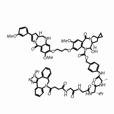 COc1cccc(C2=CN3C(=O)c4cc(OC)c(OCCCOc5cc6c(cc5OC)C(=O)N5CC7(CC7)C[C@H]5C(O)N6C(=O)OCc5ccc(NC(=O)[C@H](C)NC(=O)[C@@H](NC(=O)CNC(=O)CNC(=O)CCC(=O)N6Cc7ccccc7-c7c(nnn7C(C)C)-c7ccccc76)C(C)C)cc5)cc4NC[C@@H]3C2)c1